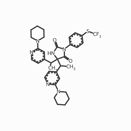 CC(c1ccnc(N2CCCCC2)c1)C1(C(C)c2ccnc(N3CCCCC3)c2)NC(=O)N(c2ccc(SC(F)(F)F)cc2)C1=O